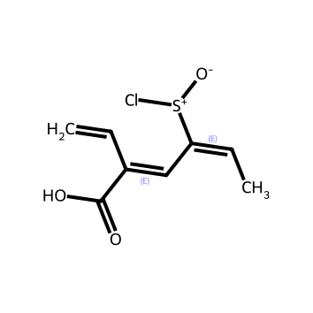 C=C/C(=C\C(=C/C)[S+]([O-])Cl)C(=O)O